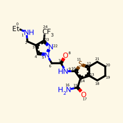 CCNCc1cn(CC(=O)Nc2sc3c(c2C(N)=O)CCCC3)nc1C(F)(F)F